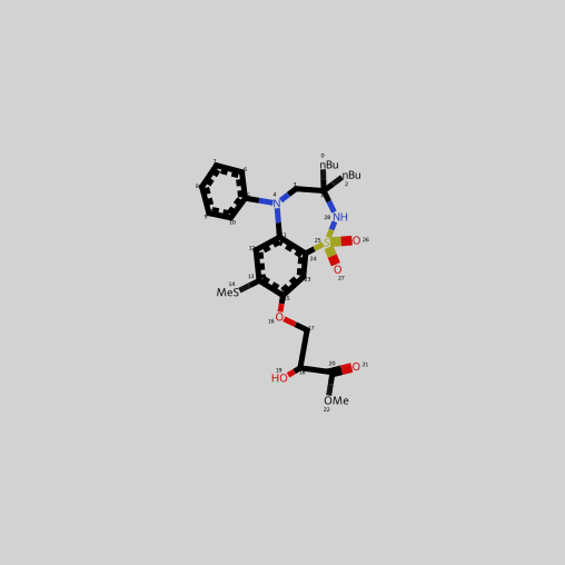 CCCCC1(CCCC)CN(c2ccccc2)c2cc(SC)c(OCC(O)C(=O)OC)cc2S(=O)(=O)N1